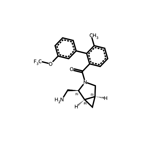 Cc1cccc(C(=O)N2C[C@H]3C[C@H]3[C@H]2CN)c1-c1cccc(OC(F)(F)F)c1